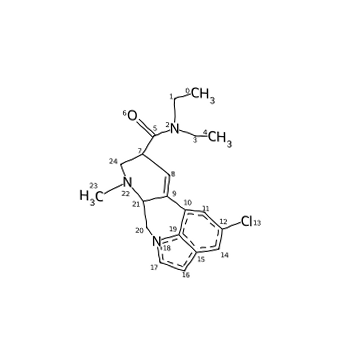 CCN(CC)C(=O)C1C=C2c3cc(Cl)cc4ccn(c34)CC2N(C)C1